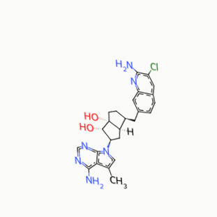 Cc1cn([C@@H]2C[C@@H]3[C@H](Cc4ccc5cc(Cl)c(N)nc5c4)CC[C@]3(O)[C@H]2O)c2ncnc(N)c12